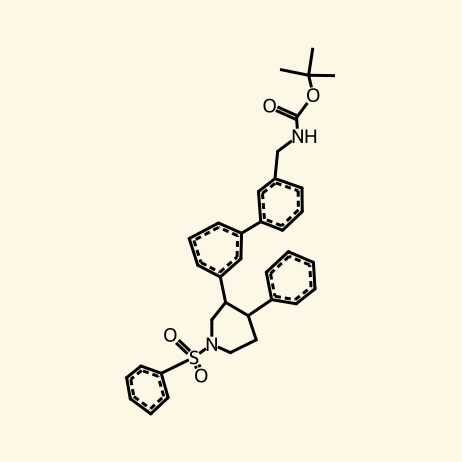 CC(C)(C)OC(=O)NCc1cccc(-c2cccc(C3CN(S(=O)(=O)c4ccccc4)CCC3c3ccccc3)c2)c1